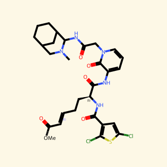 COC(=O)/C=C/CC[C@H](NC(=O)c1cc(Cl)sc1Cl)C(=O)Nc1cccn(CC(=O)NC2C3CCCC(C3)CN2C)c1=O